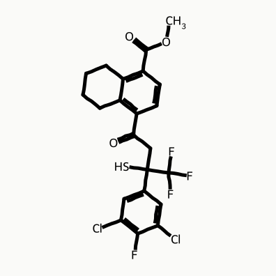 COC(=O)c1ccc(C(=O)CC(S)(c2cc(Cl)c(F)c(Cl)c2)C(F)(F)F)c2c1CCCC2